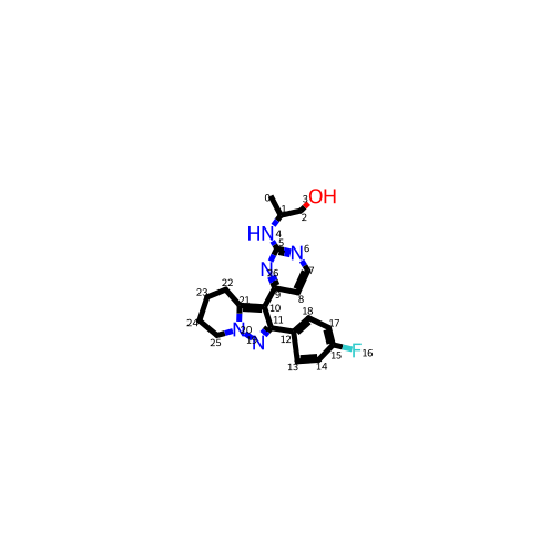 CC(CO)Nc1nccc(-c2c(-c3ccc(F)cc3)nn3c2CCCC3)n1